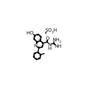 CS(=O)(=O)O.Cc1ccccc1-c1cc(C(=O)NC(=N)N)c2ccc(O)cc2n1